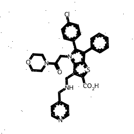 O=C(O)c1sc2c(-c3ccccc3)c(-c3ccc(Cl)cc3)n(CC(=O)N3CCOCC3)c2c1CNCc1ccncc1